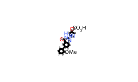 COc1ccccc1-c1ccc2nc(-n3cc(OC(=O)O)cn3)[nH]c(=O)c2c1